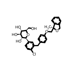 C[C@@]1(COc2ccc(Cc3cc([C@@H]4O[C@H](CO)[C@@H](O)[C@H](O)[C@H]4O)ccc3Cl)cc2)OCc2ccccc21